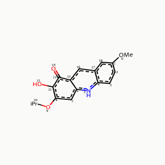 COc1ccc2[nH]c3cc(OC(C)C)c(O)c(=O)c-3cc2c1